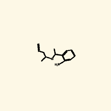 C=CCC(C)OC(C)c1ccccc1[SiH3]